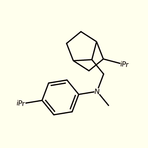 CC(C)c1ccc(N(C)CC2C3CCC2C(C(C)C)C3)cc1